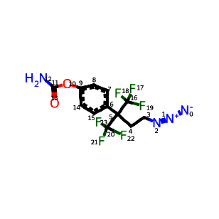 [N-]=[N+]=NCCC(c1ccc(OC(N)=O)cc1)(C(F)(F)F)C(F)(F)F